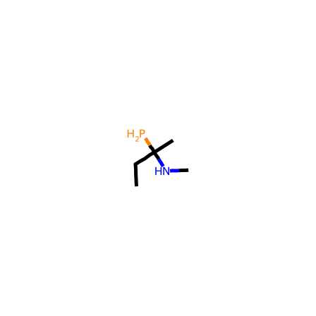 CCC(C)(P)NC